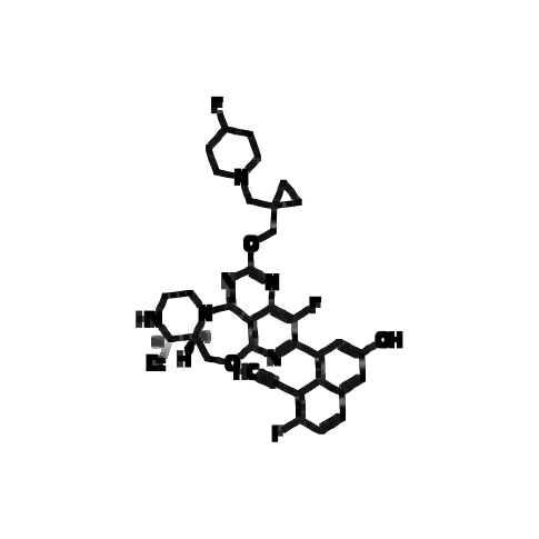 C#Cc1c(F)ccc2cc(O)cc(-c3nc4c5c(nc(OCC6(CN7CCC(F)CC7)CC6)nc5c3F)N3CCN[C@@H](CC)[C@H]3CO4)c12